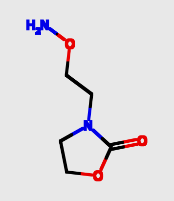 NOCCN1CCOC1=O